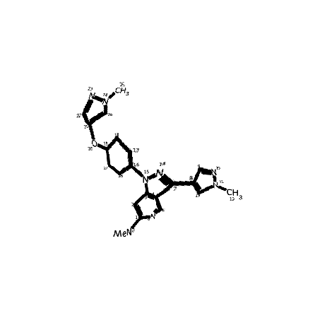 CNc1cc2c(cn1)c(-c1cnn(C)c1)nn2C1CCC(Oc2cnn(C)c2)CC1